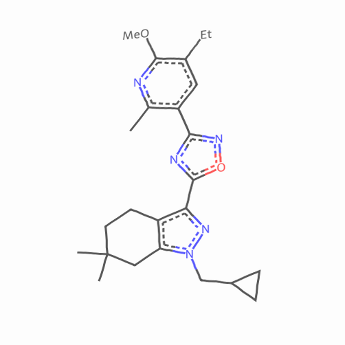 CCc1cc(-c2noc(-c3nn(CC4CC4)c4c3CCC(C)(C)C4)n2)c(C)nc1OC